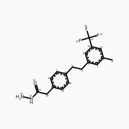 Cc1cc(CCc2ccc(CC(=O)NN)cc2)cc(C(F)(F)F)c1